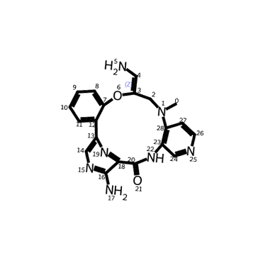 CN1C/C(=C/N)Oc2ccccc2-c2cnc(N)c(n2)C(=O)Nc2cnccc21